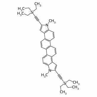 CC[Si](C#Cc1cc2c3ccc4c(ccc5c4ccc4c5cc(C#C[Si](CC)(CC)CC)n4C)c3ccc2n1C)(CC)CC